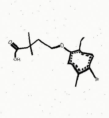 Cc1cc(OCCC(C)(C)C(=O)O)c(C)cc1Br